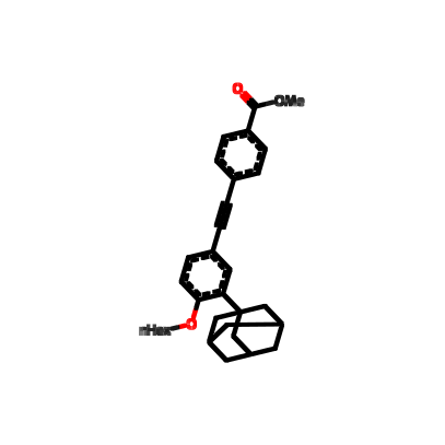 CCCCCCOc1ccc(C#Cc2ccc(C(=O)OC)cc2)cc1C12CC3CC(CC(C3)C1)C2